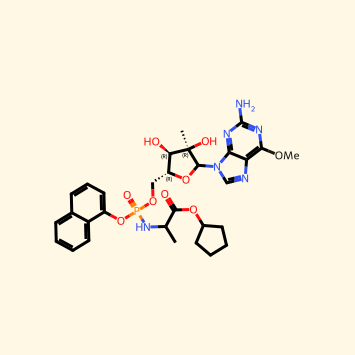 COc1nc(N)nc2c1ncn2C1O[C@H](COP(=O)(NC(C)C(=O)OC2CCCC2)Oc2cccc3ccccc23)[C@@H](O)[C@@]1(C)O